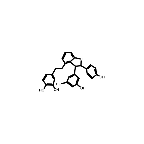 Oc1ccc(C2Oc3cccc(CCc4ccc(O)c(O)c4)c3C2c2cc(O)cc(O)c2)cc1